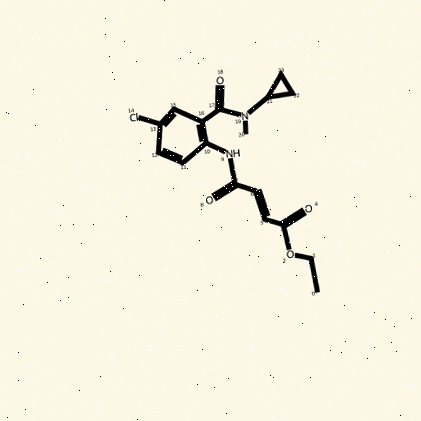 CCOC(=O)/C=C/C(=O)Nc1ccc(Cl)cc1C(=O)N(C)C1CC1